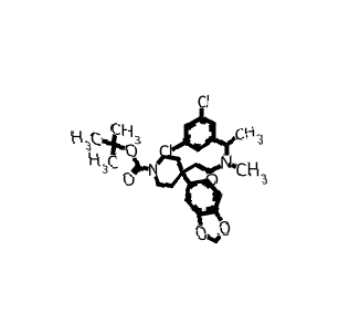 CC(c1cc(Cl)cc(Cl)c1)N(C)C(=O)CC1(c2ccc3c(c2)OCO3)CCN(C(=O)OC(C)(C)C)CC1